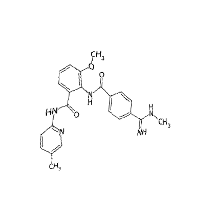 CNC(=N)c1ccc(C(=O)Nc2c(OC)cccc2C(=O)Nc2ccc(C)cn2)cc1